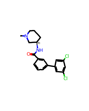 CN1CCC[C@@H](NC(=O)c2cccc(-c3cc(Cl)cc(Cl)c3)c2)C1